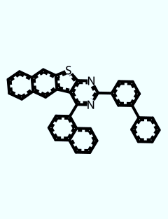 c1ccc(-c2cccc(-c3nc(-c4cccc5ccccc45)c4c(n3)sc3cc5ccccc5cc34)c2)cc1